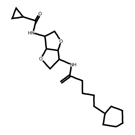 C=C(CCCCC1CCCCC1)NC1COC2C(NC(=O)C3CC3)COC12